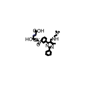 Cc1nc(-c2ccccc2)nc(-c2cccc([N+](=O)[O-])c2)c1CNCCN(C)C.O=C(O)/C=C/C(=O)O